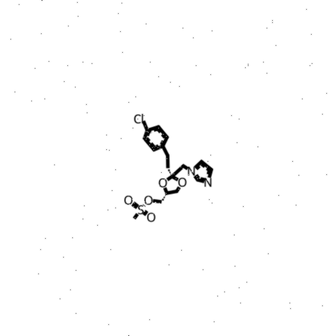 CS(=O)(=O)OC[C@H]1CO[C@](CCc2ccc(Cl)cc2)(Cn2ccnc2)O1